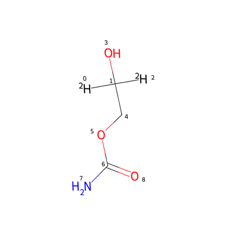 [2H]C([2H])(O)COC(N)=O